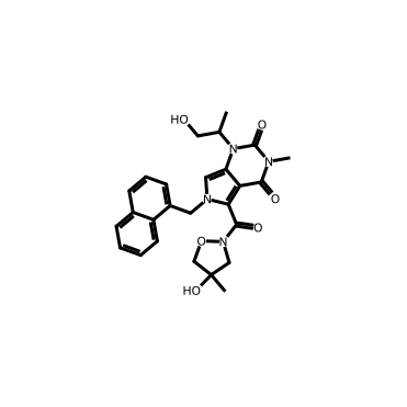 CC(CO)n1c(=O)n(C)c(=O)c2c(C(=O)N3CC(C)(O)CO3)n(Cc3cccc4ccccc34)cc21